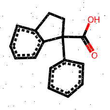 O=C(O)C1(c2ccccc2)CCc2ccccc21